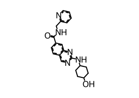 O=C(NCc1ccccn1)c1ccc2cnc(NC3CCC(O)CC3)nc2c1